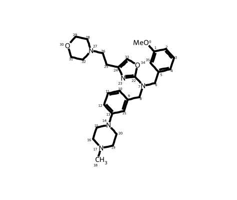 COc1cccc(CN(Cc2cccc(N3CCN(C)CC3)c2)c2nc(CCN3CCOCC3)co2)c1